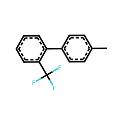 [CH2]c1ccc(-c2ccccc2C(F)(F)F)cc1